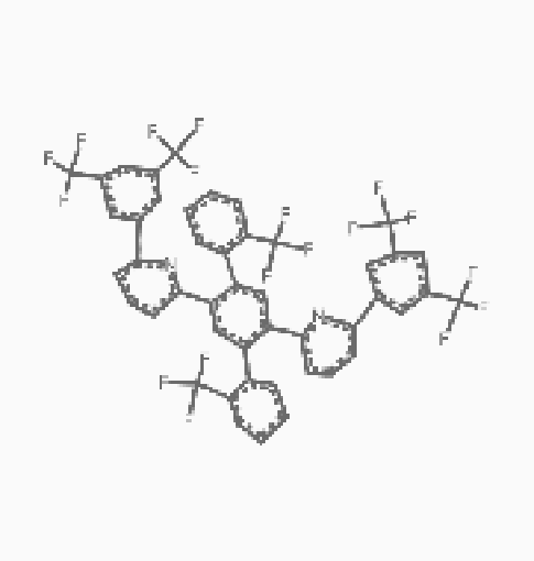 FC(F)(F)c1cc(-c2cccc(-c3cc(-c4ccccc4C(F)(F)F)c(-c4cccc(-c5cc(C(F)(F)F)cc(C(F)(F)F)c5)n4)cc3-c3ccccc3C(F)(F)F)n2)cc(C(F)(F)F)c1